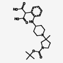 CC(C)(C)OC(=O)N1CCC(C)(N2CCC(Nc3ccccc3C(C(=O)O)C(=O)O)CC2)C1